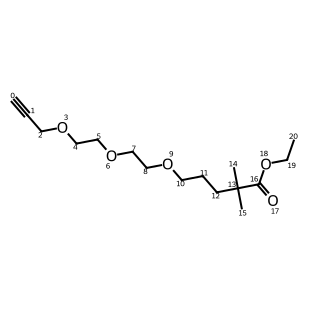 C#CCOCCOCCOCCCC(C)(C)C(=O)OCC